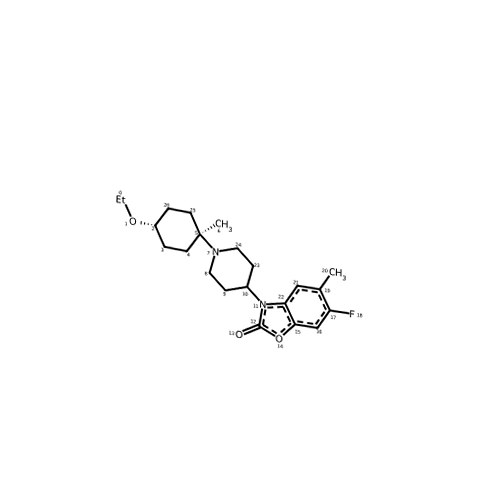 CCO[C@H]1CC[C@](C)(N2CCC(n3c(=O)oc4cc(F)c(C)cc43)CC2)CC1